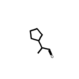 CC([C]=O)C1CCCC1